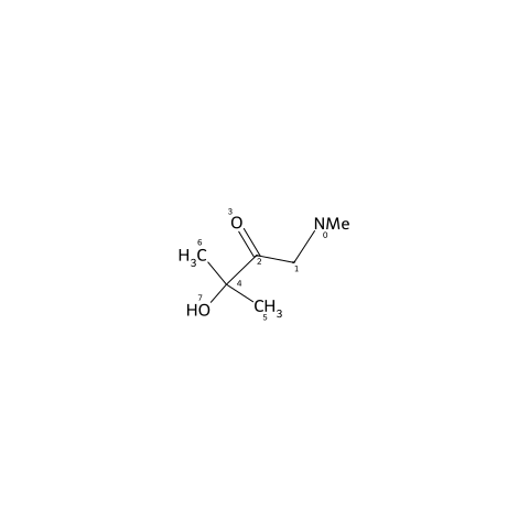 CNCC(=O)C(C)(C)O